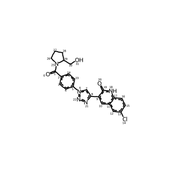 O=C(c1ccc(-n2cc(-c3cc4cc(Cl)ccc4[nH]c3=O)nn2)cc1)N1CCCC1CO